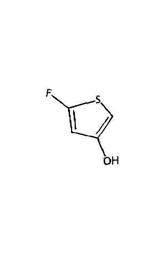 Oc1csc(F)c1